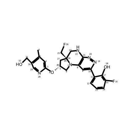 Cc1cc(O[C@H]2CN3c4cc(-c5cccc(F)c5O)nnc4NC[C@@]3(CF)C2)ncc1CO